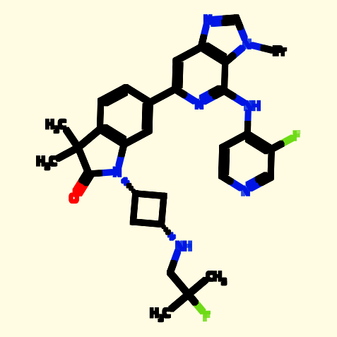 CC(C)n1cnc2cc(-c3ccc4c(c3)N([C@H]3C[C@@H](NCC(C)(C)F)C3)C(=O)C4(C)C)nc(Nc3ccncc3F)c21